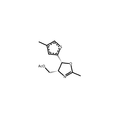 CC(=O)OC[C@H]1N=C(C)O[C@H]1c1cc(C)cs1